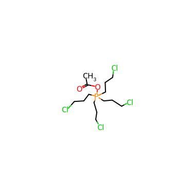 CC(=O)OP(CCCCl)(CCCCl)(CCCCl)CCCCl